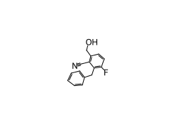 N#Cc1c(CO)ccc(F)c1Cc1ccccc1